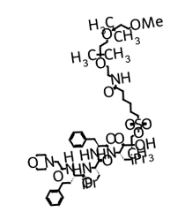 COCCC(C)(C)OCCC(C)(C)OCCNC(=O)CCCCCS(=O)(=O)OC[C@@](C)(O)C(=O)[C@H](CC(C)C)NC(=O)[C@H](Cc1ccccc1)NC(=O)[C@H](CC(C)C)NC(=O)[C@H](CCc1ccccc1)NC(=O)CN1CCOCC1